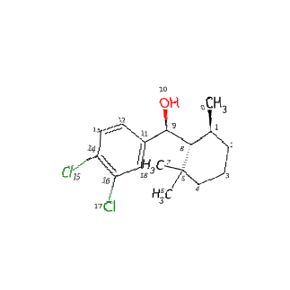 C[C@H]1CCCC(C)(C)[C@@H]1[C@H](O)c1ccc(Cl)c(Cl)c1